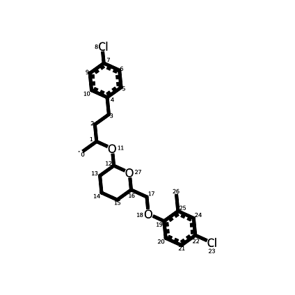 [CH2]C(CCc1ccc(Cl)cc1)OC1CCCC(COc2ccc(Cl)cc2C)O1